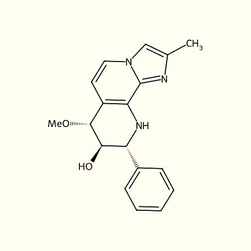 CO[C@@H]1c2ccn3cc(C)nc3c2N[C@H](c2ccccc2)[C@H]1O